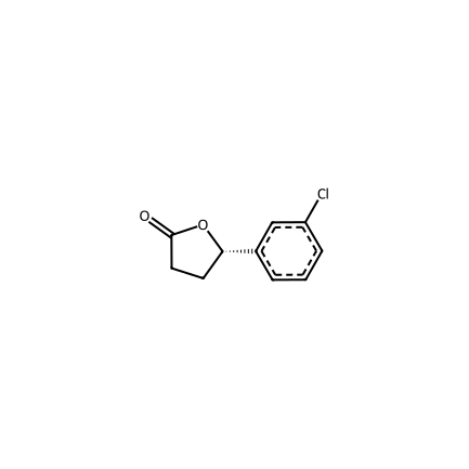 O=C1CC[C@@H](c2cccc(Cl)c2)O1